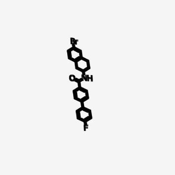 O=C(NC1CCc2cc(Br)ccc2C1)c1ccc(-c2ccc(F)cc2)cc1